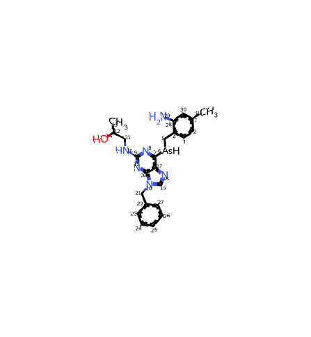 Cc1ccc(C[AsH]c2nc(NCC(C)O)nc3c2ncn3Cc2ccccc2)c(N)c1